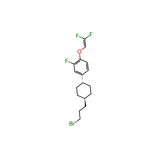 FC(F)=COc1ccc([C@H]2CC[C@H](CCCBr)CC2)cc1F